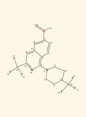 CC(=O)c1ccc2c(N3CCC(C(F)(F)F)CC3)nc(C(F)(F)F)cc2c1